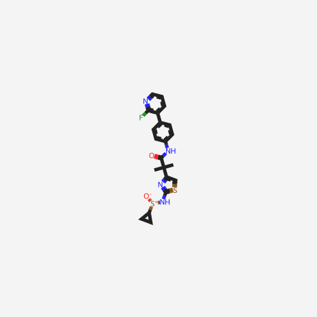 CC(C)(C(=O)Nc1ccc(-c2cccnc2F)cc1)c1csc(N[S+]([O-])C2CC2)n1